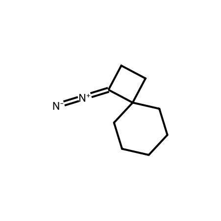 [N-]=[N+]=C1CCC12CCCCC2